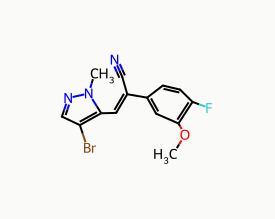 COc1cc(/C(C#N)=C/c2c(Br)cnn2C)ccc1F